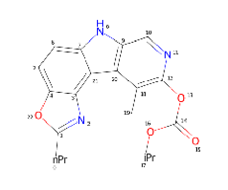 CCCc1nc2c(ccc3[nH]c4cnc(OC(=O)OC(C)C)c(C)c4c32)o1